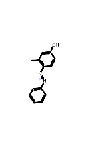 Cc1cc(O)ccc1/N=N/c1ccccc1